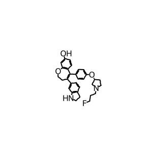 Oc1ccc2c(c1)OCCC(c1ccc3c(c1)NCC3)=C2c1ccc(O[C@H]2CCN(CCCF)C2)cc1